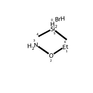 Br.CCON.C[SiH2]C